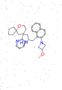 COC1CN(c2ccc3ccccc3c2CC(N)CC2(c3ccccn3)CCOC3(CCCC3)C2)C1